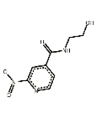 O=C(NCCO)c1ccnc([N+](=O)[O-])c1